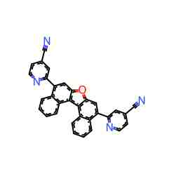 N#Cc1ccnc(-c2cc3oc4cc(-c5cc(C#N)ccn5)c5ccccc5c4c3c3ccccc23)c1